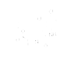 CCOC(=O)[C@@H]1CCN(C(=O)c2cc3c(Cl)c(Cl)ccc3[nH]2)C1